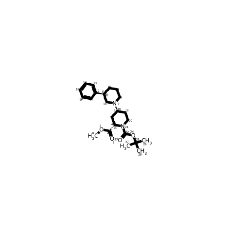 COC(=O)[C@@H]1C[C@H](N2CCC[C@H](c3ccccc3)C2)CCN1C(=O)OC(C)(C)C